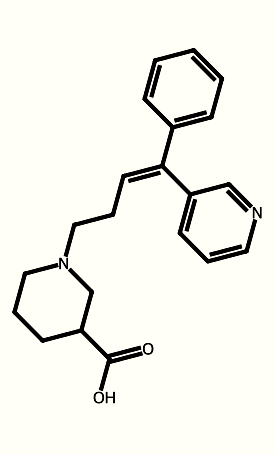 O=C(O)C1CCCN(CCC=C(c2ccccc2)c2cccnc2)C1